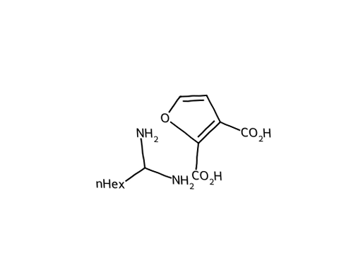 CCCCCCC(N)N.O=C(O)c1ccoc1C(=O)O